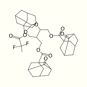 CC(F)(F)C(=O)OC12CC3CC(C1)C1(OCC(COC(=O)C45CC6CC(C4)C(=O)C(C6)C5)C(COC(=O)C45CC6CC(C4)C(=O)C(C6)C5)O1)C(C3)C2